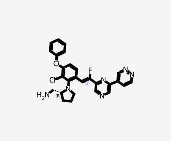 NC[C@H]1CCCN1c1c(/C=C(\F)c2cncc(-c3ccnnc3)n2)ccc(Oc2ccccc2)c1Cl